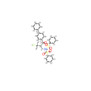 CC(C)(F)C(CN(S(=O)(=O)c1ccccc1)S(=O)(=O)c1ccccc1)C(=O)c1ccc(-c2ccccc2)cc1